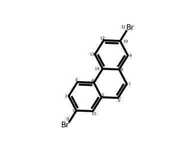 Brc1ccc2c([c][c]c3cc(Br)ccc32)c1